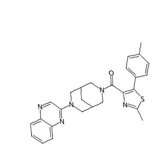 Cc1ccc(-c2sc(C)nc2C(=O)N2CC3CC(C2)CN(c2cnc4ccccc4n2)C3)cc1